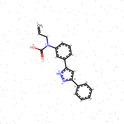 C=CCN(C(=O)O)c1cccc(-c2cc(-c3ccccc3)n[nH]2)c1